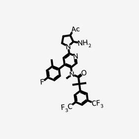 CC(=O)C1CCN(c2cc(-c3ccc(F)cc3C)c(N(C)C(=O)C(C)(C)c3cc(C(F)(F)F)cc(C(F)(F)F)c3)cn2)C1N